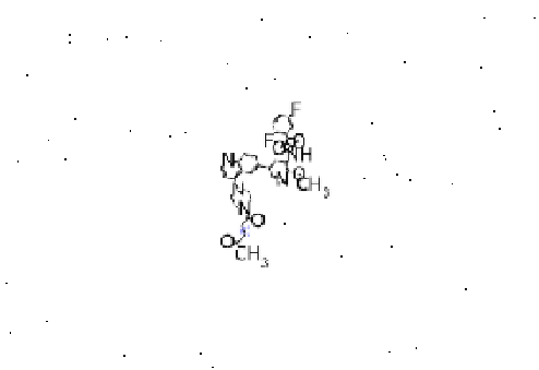 COc1ncc(-c2ccc3nccc(N4CCN(C(=O)/C=C/C(C)=O)CC4)c3c2)cc1NS(=O)(=O)c1cc(F)ccc1F